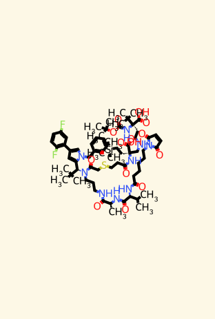 CC(C)[C@H](NC(=O)CCCCCN1C(=O)C=CC1=O)C(=O)N[C@@H](C)C(=O)NCCCN(C(=O)CSCCC(=O)N[C@](CC[Si](C)(C)C)(CNC(=O)C[C@@](NC(=O)OC(C)(C)C)(C(=O)O)C(C)(C)C)C(=O)O)[C@@H](c1cc(-c2cc(F)ccc2F)cn1Cc1ccccc1)C(C)(C)C